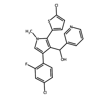 Cn1cc(-c2ccc(Cl)cc2F)c(C(O)c2cccnc2)c1-c1ccc(Cl)s1